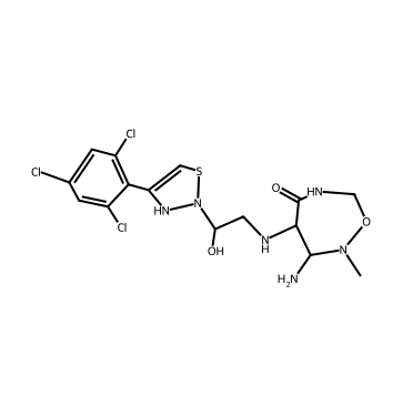 CN1OCNC(=O)C(NCC(O)N2NC(c3c(Cl)cc(Cl)cc3Cl)=CS2)C1N